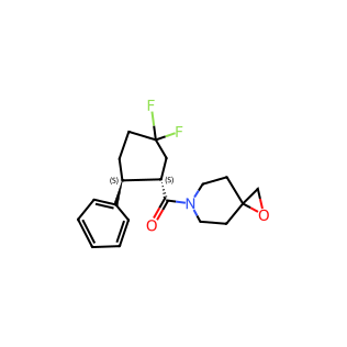 O=C([C@H]1CC(F)(F)CC[C@@H]1c1ccccc1)N1CCC2(CC1)CO2